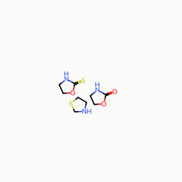 C1CSCN1.O=C1NCCO1.S=C1NCCO1